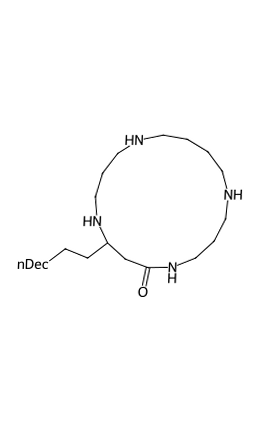 CCCCCCCCCCCCC1CC(=O)NCCCNCCCCNCCCN1